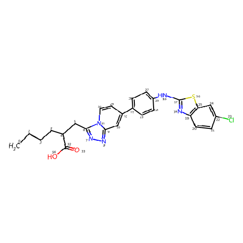 CCCCC(Cc1nnc2cc(-c3ccc(Nc4nc5ccc(Cl)cc5s4)cc3)ccn12)C(=O)O